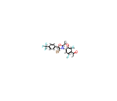 CC(=O)c1c(F)ccc(OC(C)c2nc(Br)c(-c3ccc(C(F)(F)F)cc3)o2)c1F